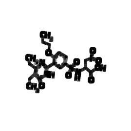 CCCOc1ccc(S(=O)(=O)NC(CI(=O)=O)C(=O)O)cc1-c1nc(CC)c(CC)c(=O)[nH]1